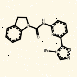 CC(C)n1cnnc1-c1cccc(NC(=O)N2CCc3ccccc32)n1